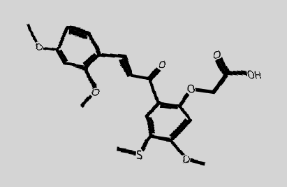 COc1ccc(C=CC(=O)c2cc(SC)c(OC)cc2OCC(=O)O)c(OC)c1